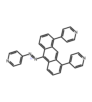 c1cc(-c2ccncc2)c2cc3c(-c4ccncc4)cccc3c(/N=N/c3ccncc3)c2c1